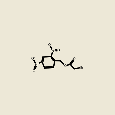 O=C(CBr)OCc1ccc([N+](=O)[O-])cc1[N+](=O)[O-]